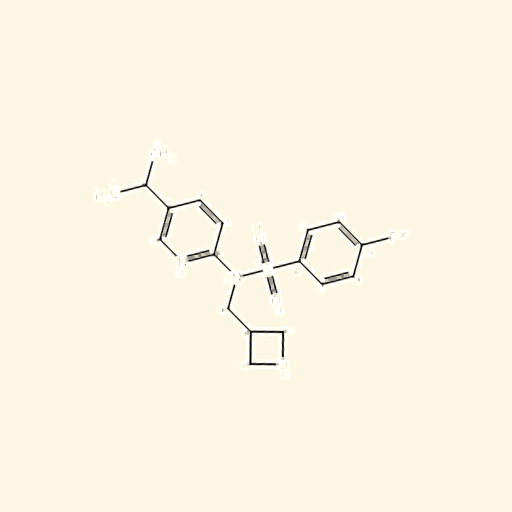 CC(C)c1ccc(N(CC2COC2)S(=O)(=O)c2ccc(F)cc2)nc1